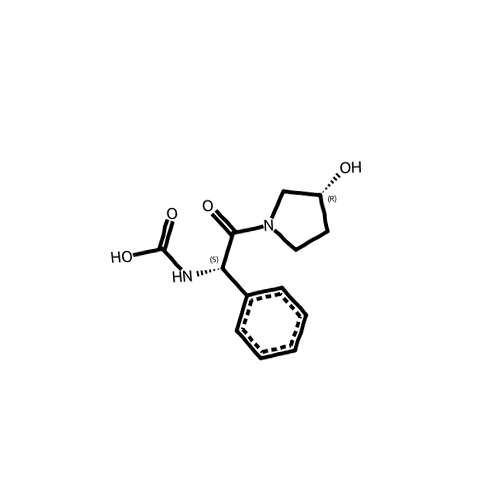 O=C(O)N[C@H](C(=O)N1CC[C@@H](O)C1)c1ccccc1